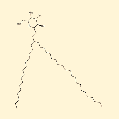 CCCCCCCCCCCCCCCCCCCCCCC(CCCCCCCCCCCCCCCC)CO[C@H]1O[C@H](CO)[C@H](O)[C@H](O)[C@H]1O